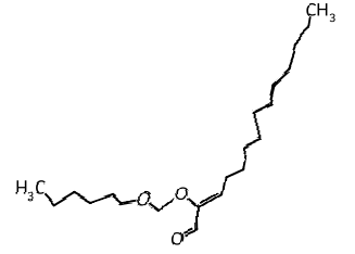 CCCCCCCCCCCC=C(C=O)OCOCCCCCC